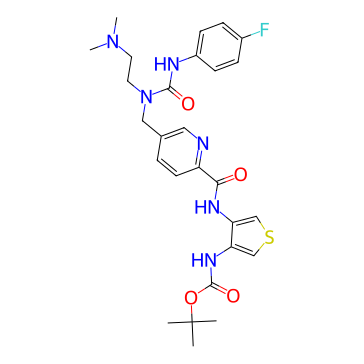 CN(C)CCN(Cc1ccc(C(=O)Nc2cscc2NC(=O)OC(C)(C)C)nc1)C(=O)Nc1ccc(F)cc1